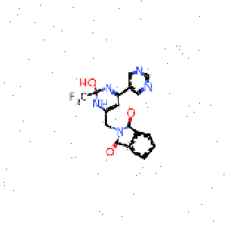 O=C1c2ccccc2C(=O)N1CC1=CC(c2cncnc2)=NC(O)(C(F)(F)F)N1